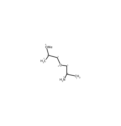 COC(C)COCC(C)N